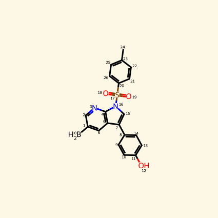 Bc1cnc2c(c1)c(-c1ccc(O)cc1)cn2S(=O)(=O)c1ccc(C)cc1